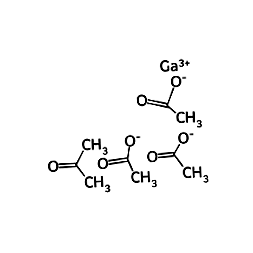 CC(=O)[O-].CC(=O)[O-].CC(=O)[O-].CC(C)=O.[Ga+3]